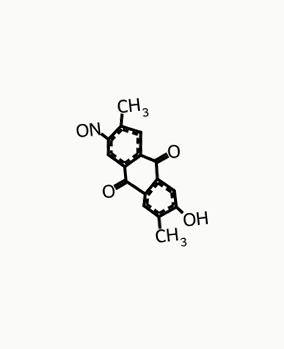 Cc1cc2c(cc1O)C(=O)c1cc(C)c(N=O)cc1C2=O